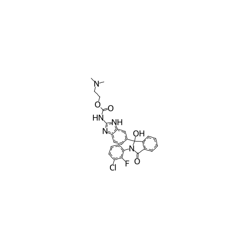 CN(C)CCOC(=O)Nc1nc2ccc(C3(O)c4ccccc4C(=O)N3c3cccc(Cl)c3F)cc2[nH]1